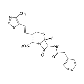 Cc1ncsc1/C=C/C1=C(C(=O)O)N2C(=O)C(NC(=O)Cc3ccccc3)[C@H]2SC1